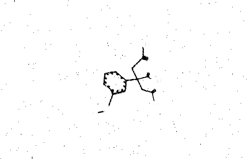 COc1cccc(C(CC(=O)O)(CC(=O)O)C(=O)O)c1